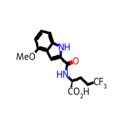 COc1cccc2[nH]c(C(=O)N[C@@H](CCC(F)(F)F)C(=O)O)cc12